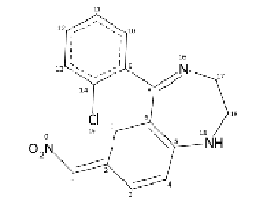 O=[N+]([O-])C=C1C=CC2=C(C1)C(c1ccccc1Cl)=NCCN2